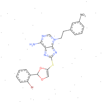 Nc1ncn(CCc2cccc([N+](=O)[O-])c2)c2nc(SC3=COC(c4ccccc4Br)O3)nc1-2